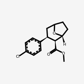 COC(=O)[C@H]1[C@@H](c2ccc(Cl)cc2)CC2CC[C@H]1O2